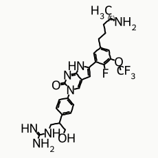 C[C@H](N)CCCc1cc(OC(F)(F)F)c(F)c(-c2cc3cn(-c4ccc(C(CO)CNC(=N)N)cc4)c(=O)nc3[nH]2)c1